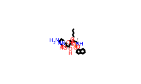 C=C[C@]1(COP(=O)(N[C@@H](C)C(=O)OCCCCC)Oc2cccc3ccccc23)O[C@@H](n2ccc(N)nc2=O)[C@H](O)[C@@H]1O